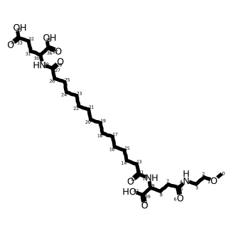 COCCNC(=O)CCC(NC(=O)CCCCCCCCCCCCCCC(=O)NC(CCC(=O)O)C(=O)O)C(=O)O